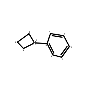 [CH]1CN(c2ccccc2)C1